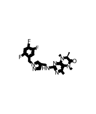 Cc1nc(NCc2cnn(Cc3cc(F)c(F)cc3F)c2)nc2c1N(C)C(=O)[C@H](C)N2C